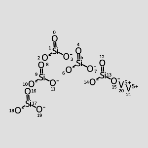 O=[Si]([O-])[O-].O=[Si]([O-])[O-].O=[Si]([O-])[O-].O=[Si]([O-])[O-].O=[Si]([O-])[O-].[V+5].[V+5]